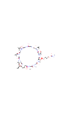 C/C=C/C[C@@H](C)[C@@H](O)[C@H]1C(=O)N[C@@H](CC)C(=O)N(C)CC(=O)N(C)[C@@H]([C@@H](C)OCCCCOC(=O)NC)C(=O)N[C@@H](C(C)C)C(=O)N(C)[C@@H](CC(C)C)C(=O)N[C@@H](C)C(=O)N[C@H](C)C(=O)N(C)[C@@H](CC(C)C)C(=O)N(C)[C@@H](CC(C)C)C(=O)N(C)[C@H](C(C)C)C(=O)N1C